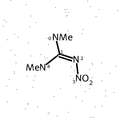 CNC(=N[N+](=O)[O-])NC